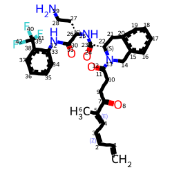 C=C/C=C\C=C(/C)C(=O)CCC(=O)N1Cc2ccccc2C[C@H]1C(=O)N[C@@H](CCN)C(=O)Nc1ccccc1C(F)(F)F